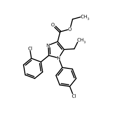 CCOC(=O)c1nc(-c2ccccc2Cl)n(-c2ccc(Cl)cc2)c1CC